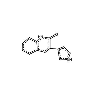 O=c1[nH]c2ccccc2cc1-c1cc[nH]c1